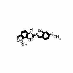 CSc1ccc(CSC(=S)Nc2ccc3c(c2Cl)B(O)OC3)c(Br)c1